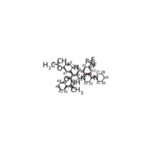 CC(C)Oc1ccc2nc(-c3cccc(C(F)(F)F)c3)c(CN3CCC(N4CCCCC4)CC3)c(C(=O)N[C@@H](C)c3ccccc3)c2c1